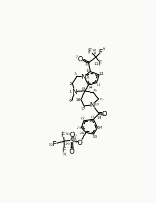 CN1CCn2c(C(=O)C(F)(F)F)ccc2C12CCN(C(=O)c1ccc(OS(=O)(=O)C(F)(F)F)cc1)CC2